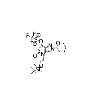 CC(C)(C)[Si](C)(C)OCCn1c(=O)cc(OS(=O)(=O)C(F)(F)F)c2nn(C3CCCCO3)cc21